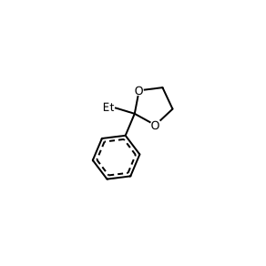 CCC1(c2ccccc2)OCCO1